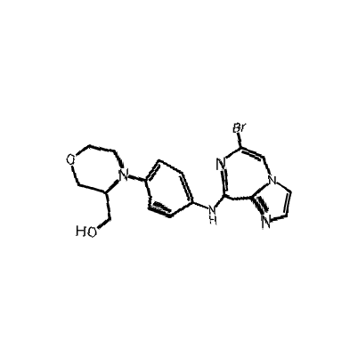 OCC1COCCN1c1ccc(Nc2nc(Br)cn3ccnc23)cc1